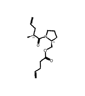 C=CCCC(=O)OC[C@@H]1CCCN1C(=O)[C@@H](C)CC=C